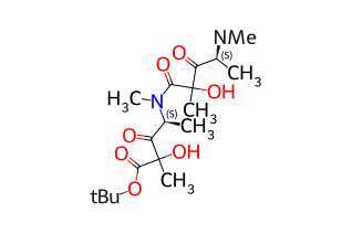 CN[C@@H](C)C(=O)C(C)(O)C(=O)N(C)[C@@H](C)C(=O)C(C)(O)C(=O)OC(C)(C)C